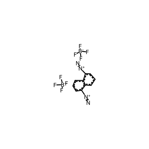 F[B-](F)(F)F.F[B-](F)(F)F.N#[N+]c1cccc2c([N+]#N)cccc12